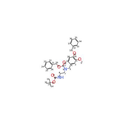 COc1cc(CN(CCNC(=O)OC(C)(C)C)C(=O)OCc2ccccc2)ccc1OCc1ccccc1